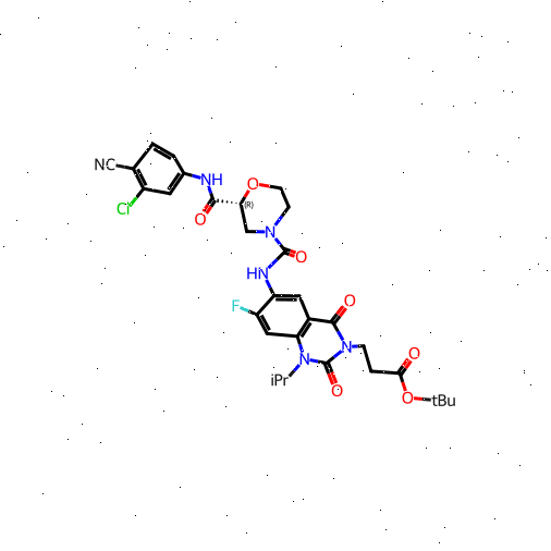 CC(C)n1c(=O)n(CCC(=O)OC(C)(C)C)c(=O)c2cc(NC(=O)N3CCO[C@@H](C(=O)Nc4ccc(C#N)c(Cl)c4)C3)c(F)cc21